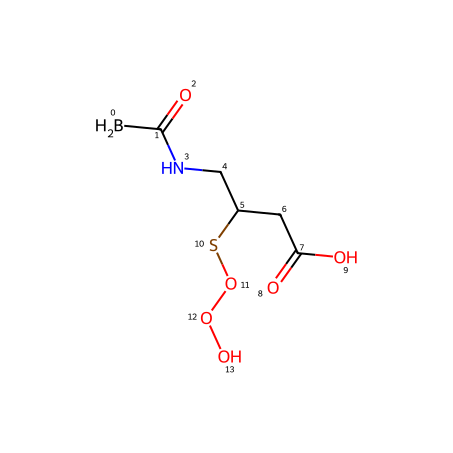 BC(=O)NCC(CC(=O)O)SOOO